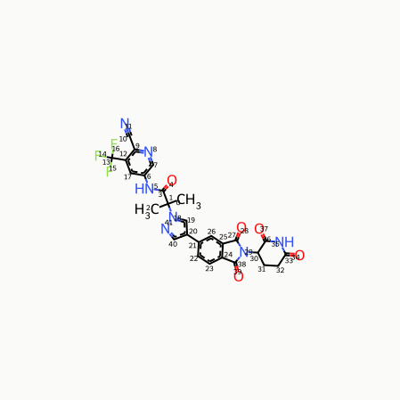 CC(C)(C(=O)Nc1cnc(C#N)c(C(F)(F)F)c1)n1cc(-c2ccc3c(c2)C(=O)N(C2CCC(=O)NC2=O)C3=O)cn1